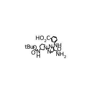 CC(C)(C)OC(=O)NC1CCCN(c2ncc(C(N)=O)c(Nc3cccc(C(=O)O)c3)n2)C1